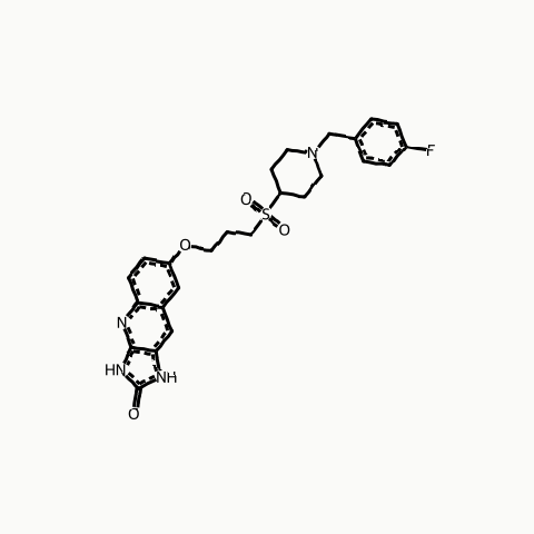 O=c1[nH]c2cc3cc(OCCCS(=O)(=O)C4CCN(Cc5ccc(F)cc5)CC4)ccc3nc2[nH]1